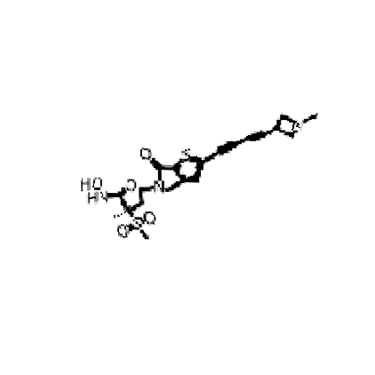 CN1CC(C#CC#Cc2cc3c(s2)C(=O)N(CC[C@](C)(C(=O)NO)S(C)(=O)=O)C3)C1